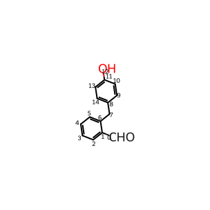 O=Cc1ccccc1Cc1ccc(O)cc1